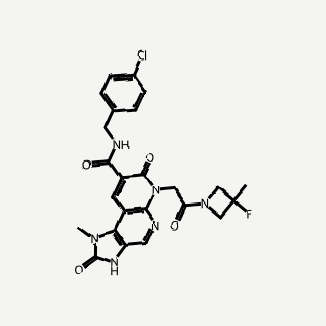 Cn1c(=O)[nH]c2cnc3c(cc(C(=O)NCc4ccc(Cl)cc4)c(=O)n3CC(=O)N3CC(C)(F)C3)c21